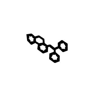 C(=C(c1ccccc1)c1ccccc1)c1cccc2c1CCc1ccccc1-2